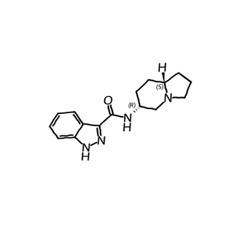 O=C(N[C@@H]1CC[C@@H]2CCCN2C1)c1n[nH]c2ccccc12